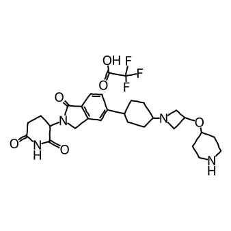 O=C(O)C(F)(F)F.O=C1CCC(N2Cc3cc(C4CCC(N5CC(OC6CCNCC6)C5)CC4)ccc3C2=O)C(=O)N1